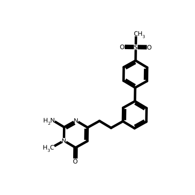 Cn1c(N)nc(CCc2cccc(-c3ccc(S(C)(=O)=O)cc3)c2)cc1=O